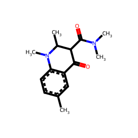 Cc1ccc2c(c1)C(=O)C(C(=O)N(C)C)C(C)N2C